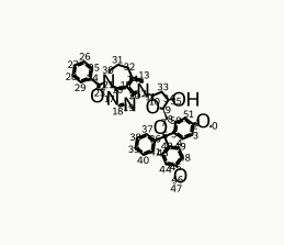 COc1ccc(C(OC[C@H]2O[C@@H](n3cc4c5c(ncnc53)N(C(=O)c3ccccc3)CCC4)C[C@@H]2O)(c2ccccc2)c2ccc(OC)cc2)cc1